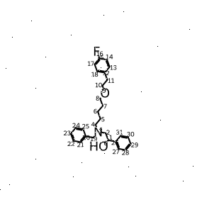 OC(CN(CCCCCOCCc1ccc(F)cc1)Cc1ccccc1)c1ccccc1